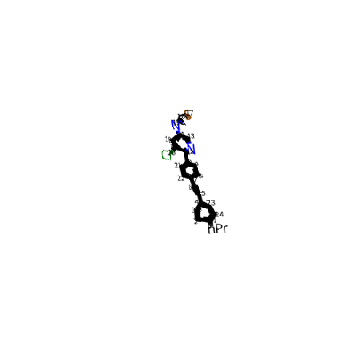 CCCc1ccc(C#Cc2ccc(-c3ncc(N=C=S)cc3Cl)cc2)cc1